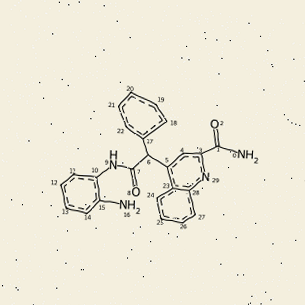 NC(=O)c1cc(C(C(=O)Nc2ccccc2N)c2ccccc2)c2ccccc2n1